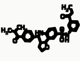 CCC(=O)c1cccc(NS(=O)(=O)c2ccc3c(c2)C2OCCC2C(c2ccc(C(=O)C(C)C)cc2)N3)c1